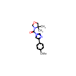 COc1ccc(-c2cn(C(=O)N3COCC3(C)C)cn2)cc1